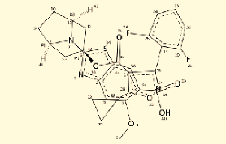 COc1cc2nc(N3[C@@H]4CC[C@H]3C[C@@H](OC(=O)c3c(-c5c(F)cccc5F)noc3C3CC3)C4)sc2cc1C(=O)O